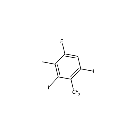 Cc1c(F)cc(I)c(C(F)(F)F)c1I